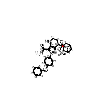 CC(C)(C)OC(=O)N1C2CC1CN(C1CCNc3c1nn(-c1ccc(Oc4ccccc4)cc1)c3C(N)=O)C2